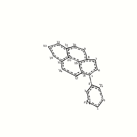 c1cncc(-c2ccc3ccc4cccc5ccc2c3c45)c1